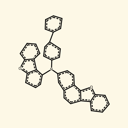 c1ccc(-c2ccc(N(c3ccc4c(ccc5c6ccccc6oc45)c3)c3cccc4oc5ccccc5c34)cc2)cc1